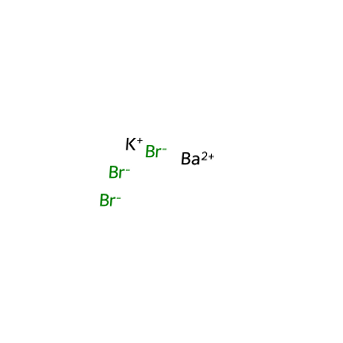 [Ba+2].[Br-].[Br-].[Br-].[K+]